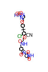 CC(C)(c1ccc(OCc2ccnc(NS(C)(=O)=O)n2)cc1)c1cc(Cl)c(OCCC(=O)NCc2ccc3c(c2)CN(C2CCC(=O)NC2=O)C3=O)c(C#N)c1